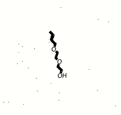 CC=CCOCCOCCO